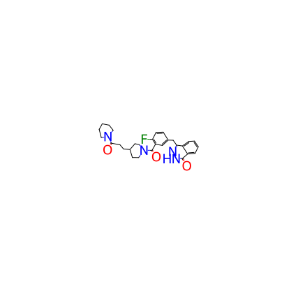 O=C(CCC1CCN(C(=O)c2cc(Cc3n[nH]c(=O)c4ccccc34)ccc2F)CC1)N1CCCCC1